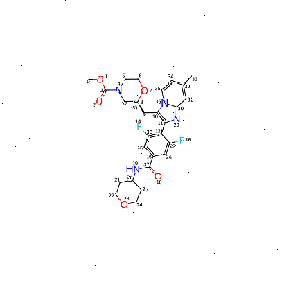 COC(=O)N1CCO[C@@H](Cc2c(-c3c(F)cc(C(=O)NC4CCOCC4)cc3F)nc3cc(C)ccn23)C1